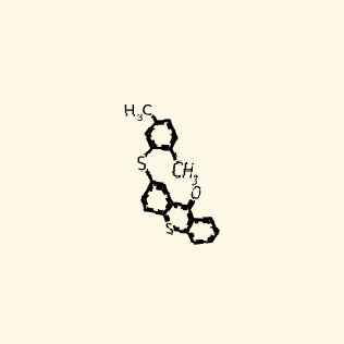 Cc1ccc(C)c(Sc2ccc3sc4ccccc4c(=O)c3c2)c1